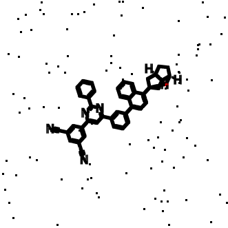 N#Cc1cc(C#N)cc(-c2cc(-c3cccc(-c4ccc(C56C[C@H]7CC[C@@H](C5)[C@@H]7C6)c5ccccc45)c3)nc(-c3ccccc3)n2)c1